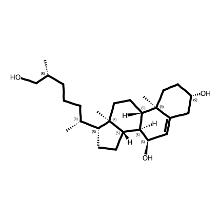 C[C@@H](CO)CCC[C@@H](C)[C@H]1CC[C@H]2[C@@H]3[C@H](O)C=C4C[C@@H](O)CC[C@]4(C)[C@H]3CC[C@]12C